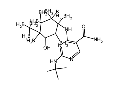 BC1C(O)C(B)(C(B)(B)B)C(B)(B)C(B)(B)C1(B)Nc1nc(NC(C)(C)C)ncc1C(N)=O